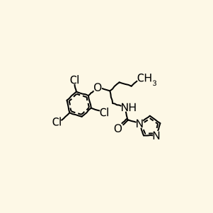 CCCC(CNC(=O)n1ccnc1)Oc1c(Cl)cc(Cl)cc1Cl